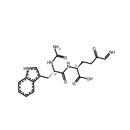 N=CC(=O)CC[C@H](NC(=O)[C@H](Cc1c[nH]c2ccccc12)NC(N)=O)C(=O)O